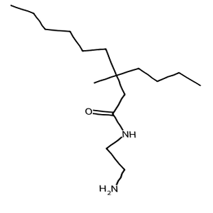 CCCCCCC(C)(CCCC)CC(=O)NCCN